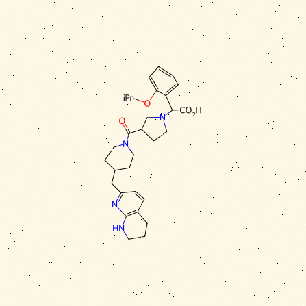 CC(C)Oc1ccccc1C(C(=O)O)N1CCC(C(=O)N2CCC(Cc3ccc4c(n3)NCCC4)CC2)C1